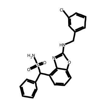 NS(=O)(=O)C(c1ccccc1)c1cccc2oc(NCc3cccc(Cl)c3)nc12